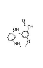 C=O.COc1cc(C)cc(O)c1.Nc1cccc(O)c1